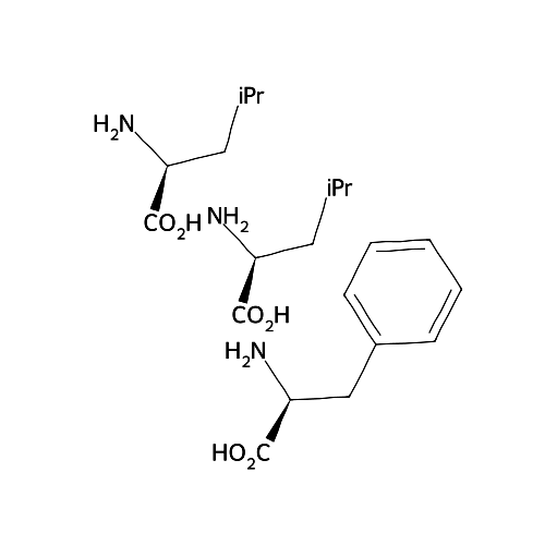 CC(C)C[C@H](N)C(=O)O.CC(C)C[C@H](N)C(=O)O.N[C@@H](Cc1ccccc1)C(=O)O